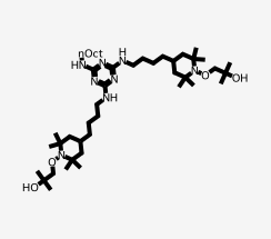 CCCCCCCCNc1nc(NCCCCC2CC(C)(C)N(OCC(C)(C)O)C(C)(C)C2)nc(NCCCCC2CC(C)(C)N(OCC(C)(C)O)C(C)(C)C2)n1